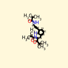 CC(C)C(=O)NCC#Cc1cccc(C[C@H](NC(=O)C(C)C)C(=O)C(C)C)c1